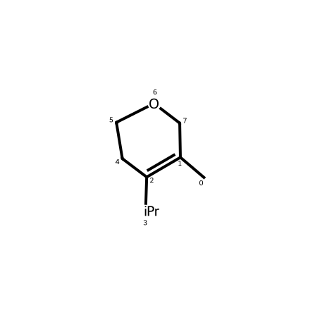 CC1=C(C(C)C)CCOC1